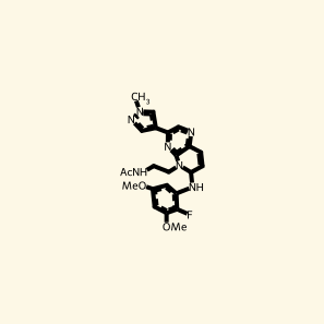 COc1cc(NC2C=Cc3ncc(-c4cnn(C)c4)nc3N2CCNC(C)=O)c(F)c(OC)c1